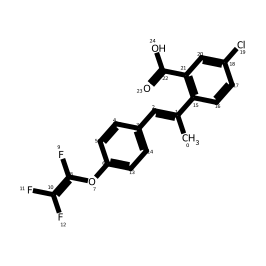 C/C(=C\c1ccc(OC(F)=C(F)F)cc1)c1ccc(Cl)cc1C(=O)O